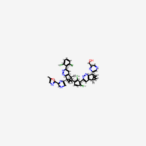 Cc1cnc(-c2cncc([C@@]34CC(c5ccc(F)c(-c6cc7c(nn6)[C@@]6(c8cncc(CO)n8)CC[C@@H]7C6(C)C)c5F)[C@@H](c5cc(-c6c(F)cccc6F)nnc53)C4(C)C)n2)o1